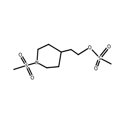 CS(=O)(=O)OCCC1CCN(S(C)(=O)=O)CC1